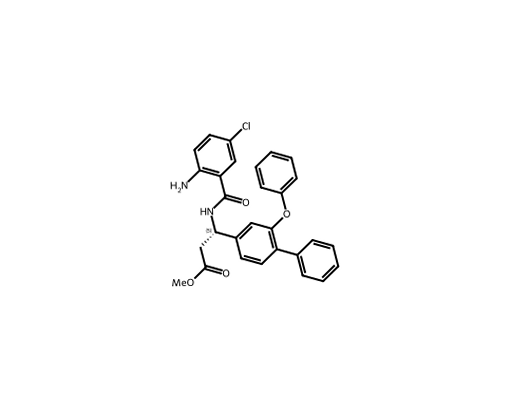 COC(=O)C[C@H](NC(=O)c1cc(Cl)ccc1N)c1ccc(-c2ccccc2)c(Oc2ccccc2)c1